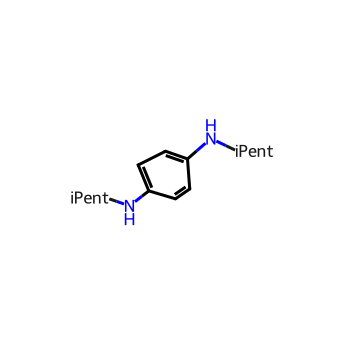 CCCC(C)Nc1ccc(NC(C)CCC)cc1